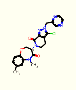 Cc1ccc2c(c1)N(C)C(=O)[C@@H](N1CCc3c(nn(Cc4cnccn4)c3Cl)C1=O)CO2